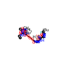 C[C@@H](C(=O)N[C@H](C(=O)N1C[C@@H](NC(=O)CCOCCOCCOCCC(=O)N2CCn3nc(Nc4cc(-c5ccnc(-n6ncc7cc(C(C)(C)C)cc(F)c7c6=O)c5CO)cn(C)c4=O)cc3C2)C[C@H]1C(=O)N[C@@H]1CCCc2ccccc21)C1CCCCC1)N(C)C(=O)OC(C)(C)C